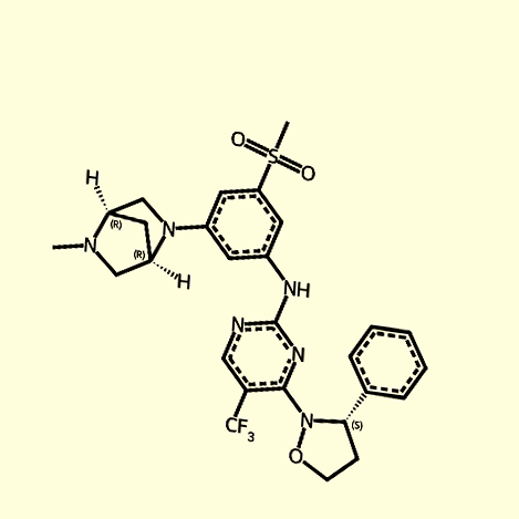 CN1C[C@H]2C[C@@H]1CN2c1cc(Nc2ncc(C(F)(F)F)c(N3OCC[C@H]3c3ccccc3)n2)cc(S(C)(=O)=O)c1